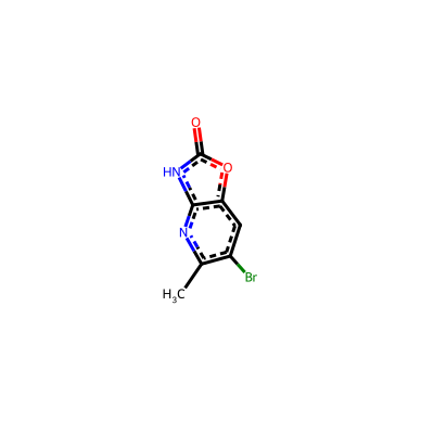 Cc1nc2[nH]c(=O)oc2cc1Br